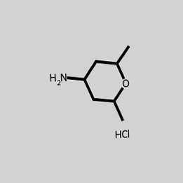 CC1CC(N)CC(C)O1.Cl